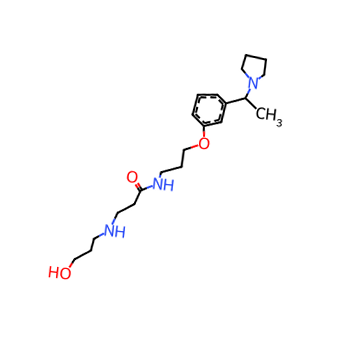 CC(c1cccc(OCCCNC(=O)CCNCCCO)c1)N1CCCC1